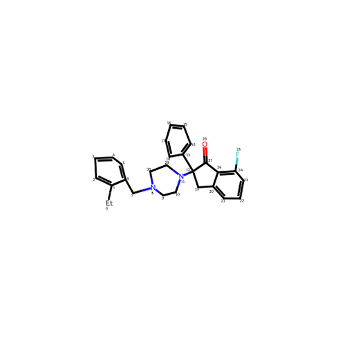 CCc1ccccc1CN1CCN(C2(c3ccccc3)Cc3cccc(F)c3C2=O)CC1